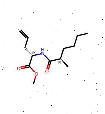 C=CC[C@H](NC(=O)[C@H](C)CCCC)C(=O)OC